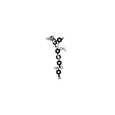 Cc1cc(N2CCN(c3ccc(C(=O)Nc4ccc(C#N)cc4)cc3)CC2)ccc1OC[C@H]1CO[C@](Cc2nc[nH]n2)(c2ccc(F)cc2F)C1